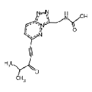 CC(C)C(=O)C#Cc1ccc2nnc(CNC(=O)O)n2n1